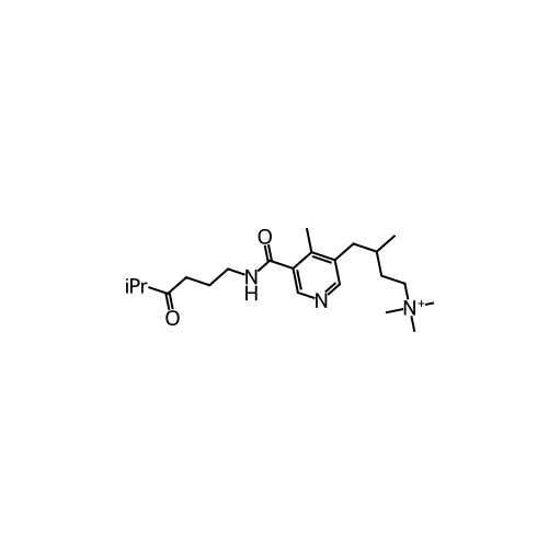 Cc1c(CC(C)CC[N+](C)(C)C)cncc1C(=O)NCCCC(=O)C(C)C